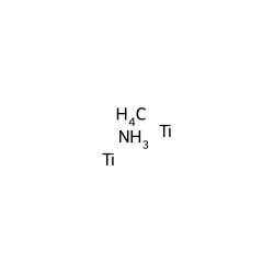 C.N.[Ti].[Ti]